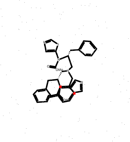 COC(=O)N(c1cncs1)[C@H](Cc1ccccc1)CN(Cc1ccccc1)C[C@@H](Cc1ccccc1)N(C(=O)OC)c1cncs1